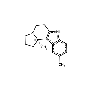 Cc1ccc2[nH]c3c(c2c1)[C@@]1(C)CCCN1CC3